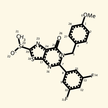 COc1ccc(Cn2c(-c3cc(F)cc(F)c3)nc3sc([S+](C)[O-])nc3c2=O)cc1